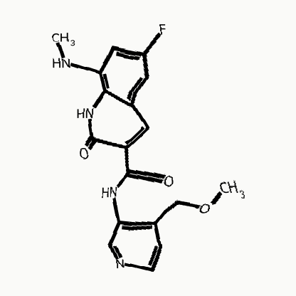 CNc1cc(F)cc2cc(C(=O)Nc3cnccc3COC)c(=O)[nH]c12